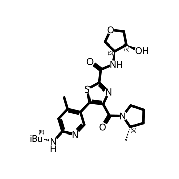 CC[C@@H](C)Nc1cc(C)c(-c2sc(C(=O)N[C@H]3COC[C@H]3O)nc2C(=O)N2CCC[C@@H]2C)cn1